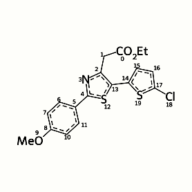 CCOC(=O)Cc1nc(-c2ccc(OC)cc2)sc1-c1ccc(Cl)s1